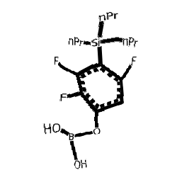 CCC[Si](CCC)(CCC)c1c(F)cc(OB(O)O)c(F)c1F